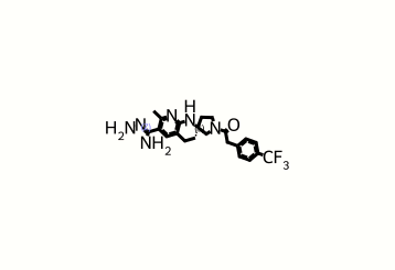 Cc1nc2c(cc1/C(N)=N/N)CC[C@@]1(CCN(C(=O)Cc3ccc(C(F)(F)F)cc3)C1)N2